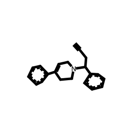 C#CCC(c1ccccc1)N1CC=C(c2ccccc2)CC1